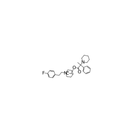 CC(C(=O)OC1C[N+]2(CCc3ccc(F)cc3)CCC1CC2)(c1ccccc1)N1CCCCC1